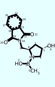 CB(O)N1C[C@@H](O)C[C@@H]1CN1C(=O)c2ccccc2C1=O